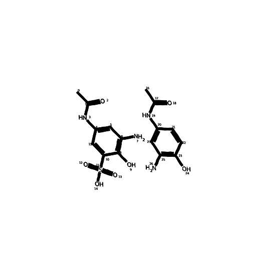 CC(=O)Nc1cc(N)c(O)c(S(=O)(=O)O)c1.CC(=O)Nc1ccc(O)c(N)c1